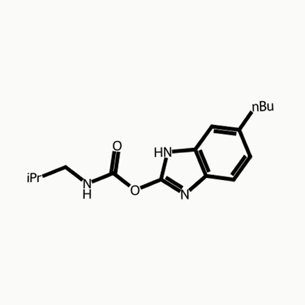 CCCCc1ccc2nc(OC(=O)NCC(C)C)[nH]c2c1